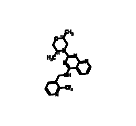 C[C@@H]1CO[C@@H](C)CN1c1nc(NCc2cccnc2C(F)(F)F)c2cccnc2n1